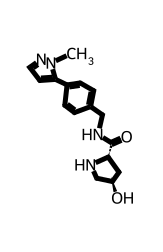 Cn1nccc1-c1ccc(CNC(=O)[C@@H]2C[C@@H](O)CN2)cc1